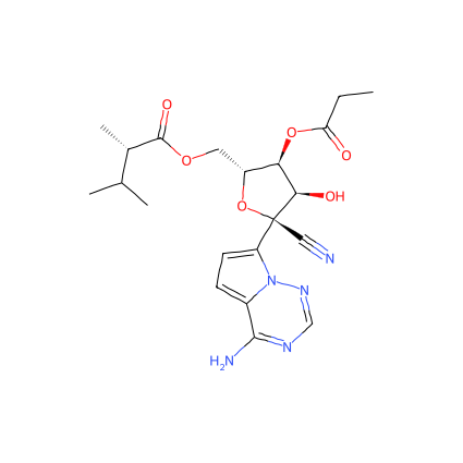 CCC(=O)O[C@H]1[C@@H](O)[C@](C#N)(c2ccc3c(N)ncnn23)O[C@@H]1COC(=O)[C@@H](C)C(C)C